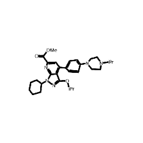 COC(=O)c1cc(-c2ccc(N3CCN(C(C)C)CC3)cc2)c2c(OC(C)C)nn(C3CCCCC3)c2n1